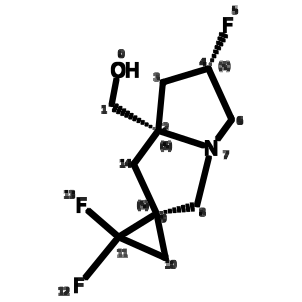 OC[C@]12C[C@H](F)CN1C[C@@]1(CC1(F)F)C2